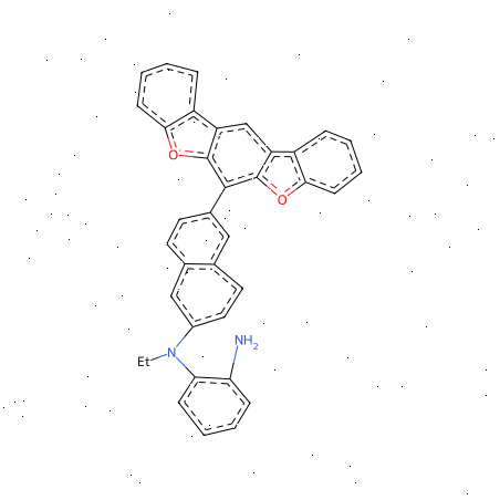 CCN(c1ccc2cc(-c3c4oc5ccccc5c4cc4c3oc3ccccc34)ccc2c1)c1ccccc1N